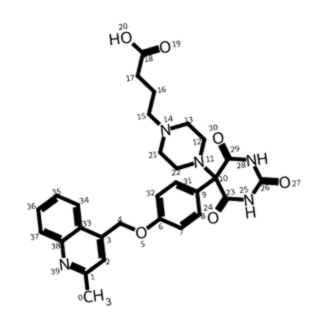 Cc1cc(COc2ccc(C3(N4CCN(CCCC(=O)O)CC4)C(=O)NC(=O)NC3=O)cc2)c2ccccc2n1